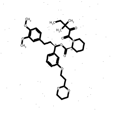 CCC(C)(C)C(=O)C(=O)N1CCCC[C@H]1C(=O)O[C@H](CCc1ccc(OC)c(OC)c1)c1cccc(OCCC2OCCCO2)c1